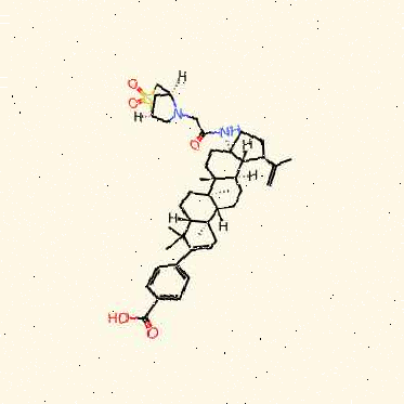 C=C(C)[C@@H]1CC[C@]2(NC(=O)CN3C[C@@H]4C[C@H]3CS4(=O)=O)CC[C@]3(C)[C@H](CC[C@@H]4[C@@]5(C)CC=C(c6ccc(C(=O)O)cc6)C(C)(C)[C@@H]5CC[C@]43C)[C@@H]12